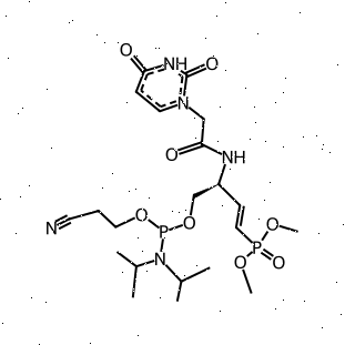 COP(=O)(/C=C/[C@@H](COP(OCCC#N)N(C(C)C)C(C)C)NC(=O)Cn1ccc(=O)[nH]c1=O)OC